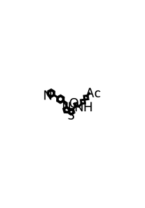 CC(=O)C1CC2(CC(NC(=O)c3csc4ccn(Cc5ccc(-c6cccnc6)cc5)c34)C2)C1